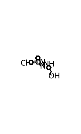 OCCc1ccc(Nc2ncc3c(n2)-c2ccccc2[C@@H](c2ccc(Cl)cc2)C3)cc1